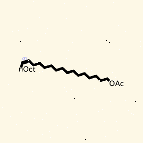 CCCCCCCC/C=C\CCCCCCCCCCCCCCOC(C)=O